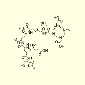 CCN1CCN(CC(=O)O)CCN(CC(=O)NC(CSSCC(NC(=O)CCC(NC(=O)C(CCC(=O)NC(CSC)C(N)=O)NC(=O)C(CCC(=O)O)NC)C(C)=O)C(N)=O)OCN)CCN(CC(=O)O)CC1